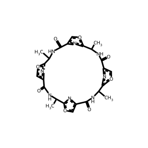 CC1NC(=O)c2coc(n2)C(C)NC(=O)c2coc(n2)C(C)NC(=O)c2coc(n2)C(C)NC(=O)c2coc1n2